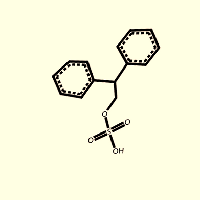 O=S(=O)(O)OCC(c1ccccc1)c1ccccc1